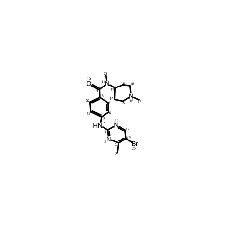 Cc1nc(Nc2ccc(C(=O)N(C)C3CCN(C)CC3)cc2)ncc1Br